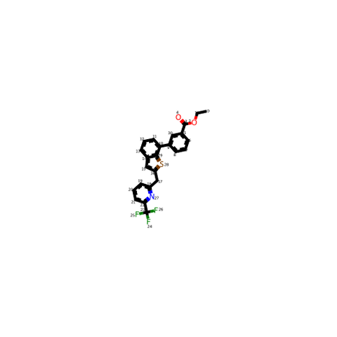 CCOC(=O)c1cccc(-c2cccc3cc(Cc4cccc(C(F)(F)F)n4)sc23)c1